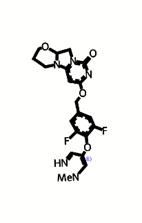 CN/C=C(\C=N)Oc1c(F)cc(COc2cc3n(c(=O)n2)CC2OCCCN32)cc1F